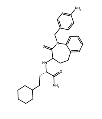 NC(=O)[C@H](CCC1CCCCC1)NC1CCc2ccccc2N(Cc2ccc(N)cc2)C1=O